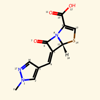 Cn1cc(/C=C2\C(=O)N3C(C(=O)O)=CS[C@H]23)cn1